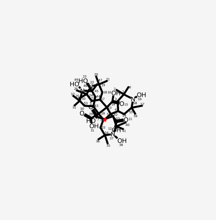 CC1(C)CC(C(CC(=O)O)(C(=O)O)C(C(=O)O)(C2CC(C)(C)N(O)C(C)(C)C2)C(C(=O)O)(C2CC(C)(C)N(O)C(C)(C)C2)C2CC(C)(C)N(O)C(C)(C)C2)CC(C)(C)N1O